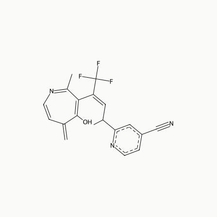 C=C1C=CN=C(C)C(/C(=C\C(C)c2cc(C#N)ccn2)C(F)(F)F)=C1O